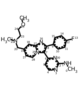 CNc1nccc(-c2c(-c3ccc(F)cc3)nc3cc(CN(C)CCOC)ccn23)n1